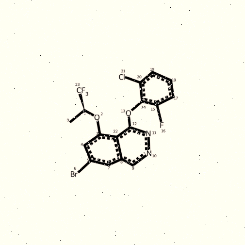 C[C@H](Oc1cc(Br)cc2cnnc(Oc3c(F)cccc3Cl)c12)C(F)(F)F